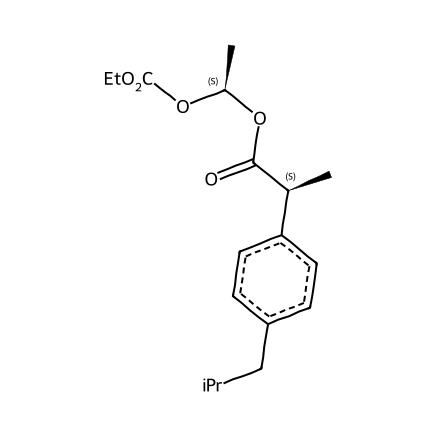 CCOC(=O)O[C@@H](C)OC(=O)[C@@H](C)c1ccc(CC(C)C)cc1